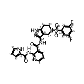 O=C(Nc1ncccc1C(=O)Nc1n[nH]c2c1CN(S(=O)(=O)c1cc(F)cc(F)c1)CC2)c1ccc[nH]1